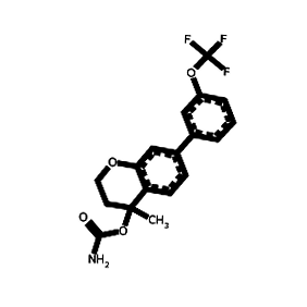 CC1(OC(N)=O)CCOc2cc(-c3cccc(OC(F)(F)F)c3)ccc21